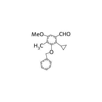 COc1cc(C=O)c(C2CC2)c(OCc2ccccc2)c1C